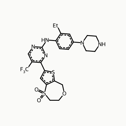 CCc1cc(N2CCNCC2)ccc1Nc1ncc(C(F)(F)F)c(-c2cc3c(s2)COCCS3(=O)=O)n1